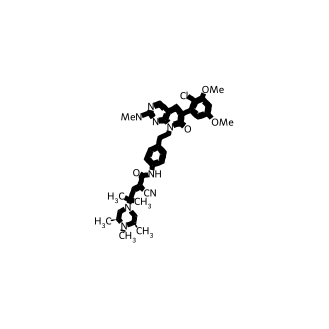 CNc1ncc2cc(-c3cc(OC)cc(OC)c3Cl)c(=O)n(CCc3ccc(NC(=O)/C(C#N)=C/C(C)(C)N4C[C@@H](C)N(C)[C@@H](C)C4)cc3)c2n1